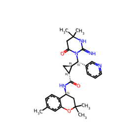 Cc1ccc2c(c1)OC(C)(C)C[C@@H]2NC(=O)[C@@H]1C[C@H]1[C@@H](c1cccnc1)N1C(=N)NC(C)(C)CC1=O